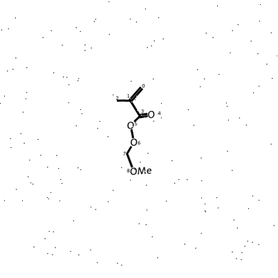 C=C(C)C(=O)OOCOC